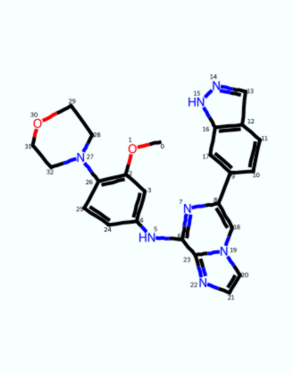 COc1cc(Nc2nc(-c3ccc4cn[nH]c4c3)cn3ccnc23)ccc1N1CCOCC1